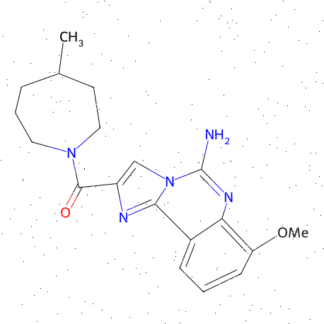 COc1cccc2c1nc(N)n1cc(C(=O)N3CCCC(C)CC3)nc21